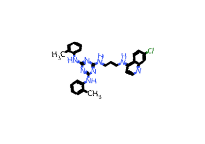 Cc1ccccc1Nc1nc(NCCCNc2ccnc3cc(Cl)ccc23)nc(Nc2ccccc2C)n1